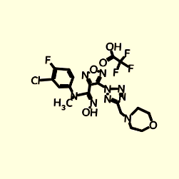 CN(C(=NO)c1nonc1-n1nnc(CN2CCOCC2)n1)c1ccc(F)c(Cl)c1.O=C(O)C(F)(F)F